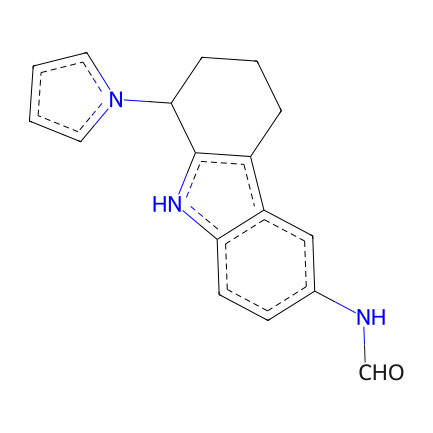 O=CNc1ccc2[nH]c3c(c2c1)CCCC3n1cccc1